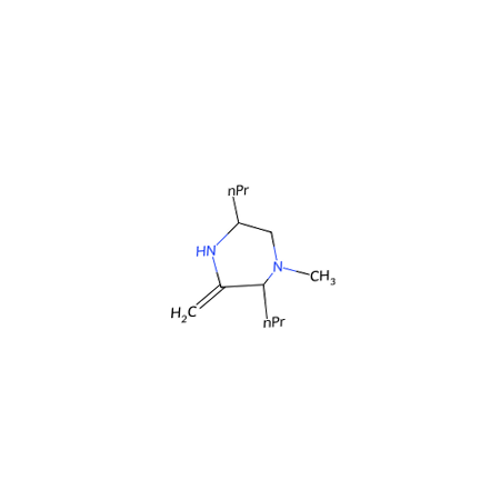 C=C1NC(CCC)CN(C)C1CCC